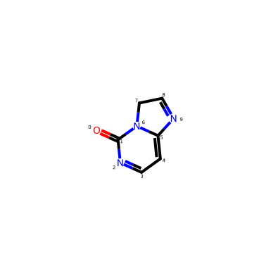 O=c1nccc2n1CC=N2